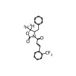 [2H]C1([2H])OC(=O)N(C(=O)/C=C/c2ccccc2C(F)(F)F)C1Cc1ccccc1